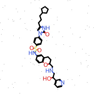 O=c1[nH]c(CCCC2CCCC2)cn1-c1ccc(S(=O)(=O)Nc2ccc3c(c2)CCC(CNCC(O)c2cccnc2)O3)cc1